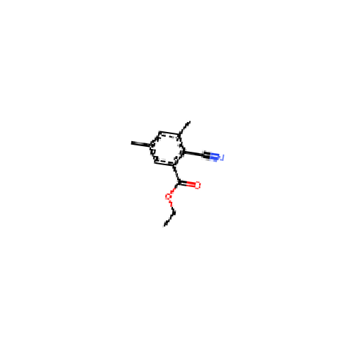 CCOC(=O)c1cc(C)cc(C)c1C#N